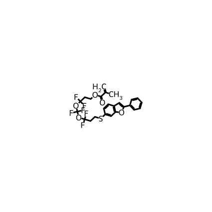 C=C(C)C(=O)OCCC(F)(F)OC(F)(F)OC(F)(F)CCSc1ccc2cc(-c3ccccc3)oc2c1